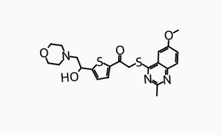 COc1ccc2nc(C)nc(SCC(=O)c3ccc(C(O)CN4CCOCC4)s3)c2c1